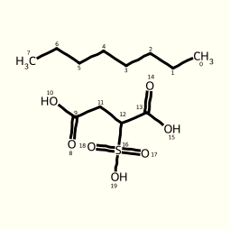 CCCCCCCC.O=C(O)CC(C(=O)O)S(=O)(=O)O